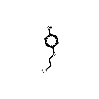 NCCOc1ccc(O)cc1